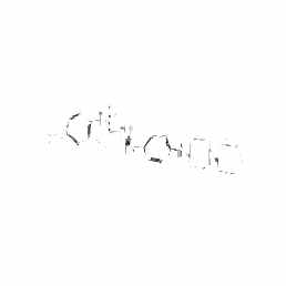 COc1ccc2c(c1)sc(/N=N/c1ccc(N3CC[N+]4(CCCCC4)CC3)cc1)[n+]2C